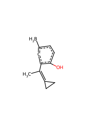 Bc1ccc(O)c(C(C)=C2CC2)c1